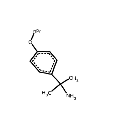 CCCOc1ccc(C(C)(C)N)cc1